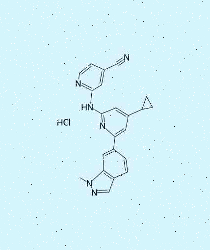 Cl.Cn1ncc2ccc(-c3cc(C4CC4)cc(Nc4cc(C#N)ccn4)n3)cc21